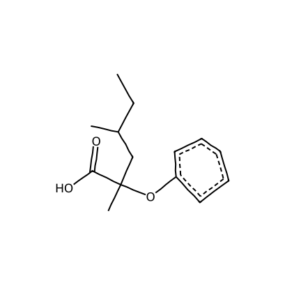 CCC(C)CC(C)(Oc1ccccc1)C(=O)O